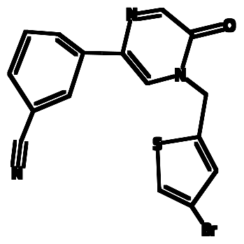 N#Cc1cccc(-c2cn(Cc3cc(Br)cs3)c(=O)cn2)c1